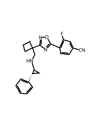 N#Cc1ccc(-c2nc(C3(CNC4C[C@@H]4c4ccccc4)CCC3)no2)c(F)c1